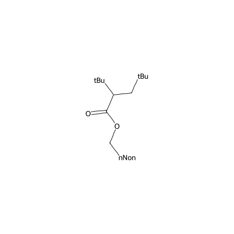 CCCCCCCCCCOC(=O)C(CC(C)(C)C)C(C)(C)C